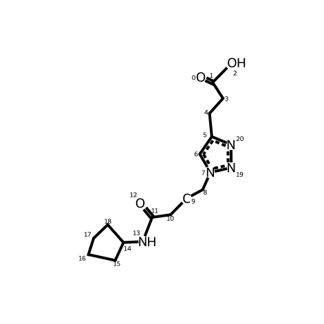 O=C(O)CCc1cn(CCCC(=O)NC2CCCC2)nn1